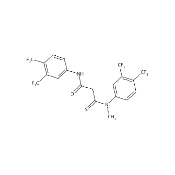 CN(C(=S)CC(=O)Nc1ccc(C(F)(F)F)c(C(F)(F)F)c1)c1ccc(C(F)(F)F)c(C(F)(F)F)c1